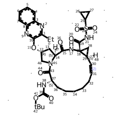 CCc1nc2ccccc2nc1O[C@@H]1C[C@H]2C(=O)N[C@]3(C(=O)NS(=O)(=O)C4CC4)C[C@H]3/C=C\CCCCC[C@H](NC(=O)OC(C)(C)C)C(=O)N2C1